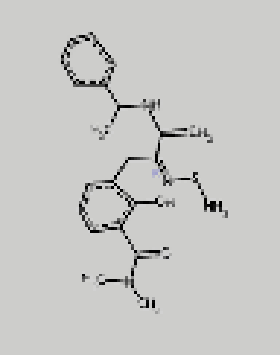 C=C(NC(c1ccccc1)C(F)(F)F)/C(Cc1cccc(C(=O)N(C)C)c1O)=N\SN